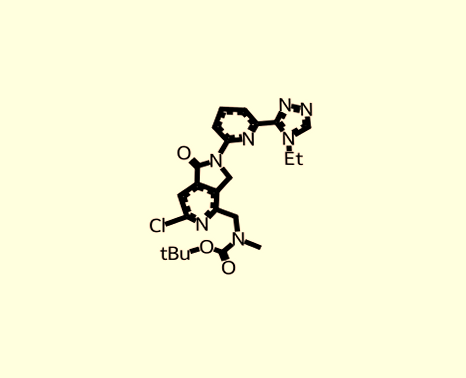 CCn1cnnc1-c1cccc(N2Cc3c(cc(Cl)nc3CN(C)C(=O)OC(C)(C)C)C2=O)n1